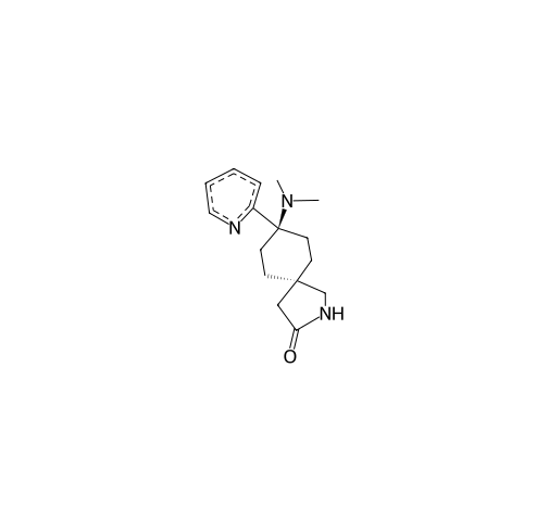 CN(C)[C@]1(c2ccccn2)CC[C@]2(CC1)CNC(=O)C2